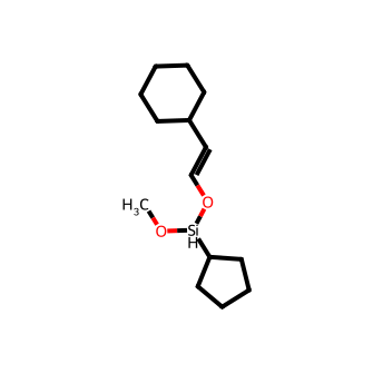 CO[SiH](OC=CC1CCCCC1)C1CCCC1